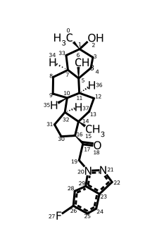 C[C@@]1(O)CC[C@@]2(C)[C@@H](CC[C@@H]3[C@@H]2CC[C@]2(C)[C@@H](C(=O)Cn4ncc5ccc(F)cc54)CC[C@@H]32)C1